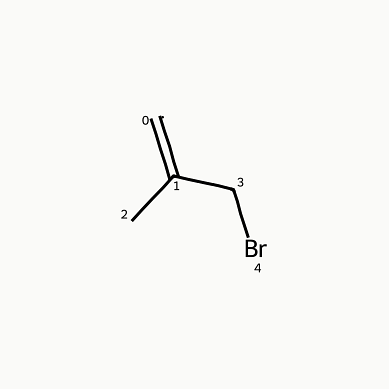 [CH]=C(C)CBr